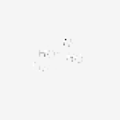 [Cu+2].[N].[OH-].[OH-]